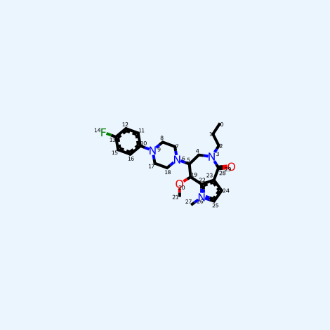 CCCN1CC(N2CCN(c3ccc(F)cc3)CC2)C(OC)c2c(ccn2C)C1=O